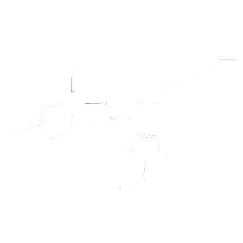 C=CCSCCON=C(C(=O)NC1C(=O)N2C=C(C(=O)O)CS[C@H]12)c1csc(NC=O)n1